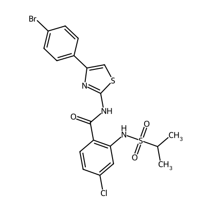 CC(C)S(=O)(=O)Nc1cc(Cl)ccc1C(=O)Nc1nc(-c2ccc(Br)cc2)cs1